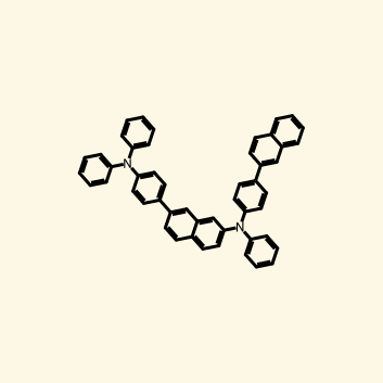 c1ccc(N(c2ccccc2)c2ccc(-c3ccc4ccc(N(c5ccccc5)c5ccc(-c6ccc7ccccc7c6)cc5)cc4c3)cc2)cc1